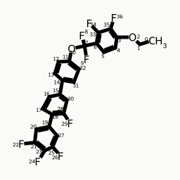 CCOc1ccc(C(F)(F)Oc2ccc(-c3ccc(-c4cc(F)c(F)c(F)c4)c(F)c3)cc2)c(F)c1F